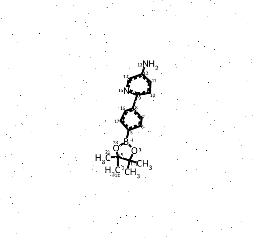 CC1(C)OB(c2ccc(-c3ccc(N)cn3)cc2)OC1(C)C